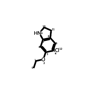 CCOc1ccc2c(c1)NCC2.Cl